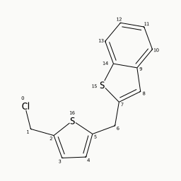 ClCc1ccc(Cc2cc3ccccc3s2)s1